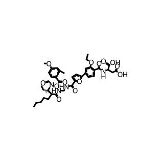 CCCCCC(C(=O)NCNC(=O)c1ccc(-c2ccc(C(=O)NC(CC(=O)O)C(=O)O)c(OCC)c2)o1)[C@@H](CC)N(C=O)OC(=O)c1ccc(OC)cc1C